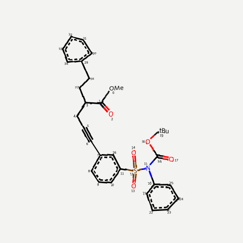 COC(=O)C(CC#Cc1cccc(S(=O)(=O)N(C(=O)OC(C)(C)C)c2ccccc2)c1)CCc1ccccc1